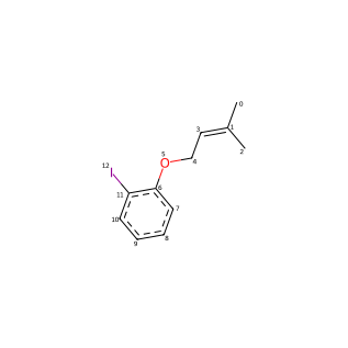 CC(C)=CCOc1ccccc1I